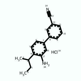 CCC(C)c1ccc(-c2cccc(C#N)c2)cc1N.Cl